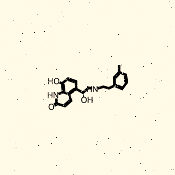 [CH2]c1cccc(CCNC[C@H](O)c2ccc(O)c3[nH]c(=O)ccc23)c1